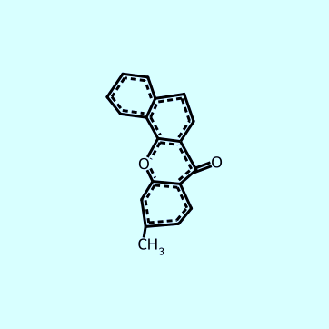 Cc1ccc2c(=O)c3ccc4ccccc4c3oc2c1